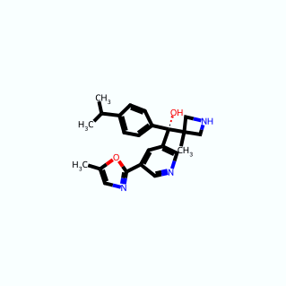 Cc1cnc(-c2cncc([C@@](O)(c3ccc(C(C)C)cc3)C3(C)CNC3)c2)o1